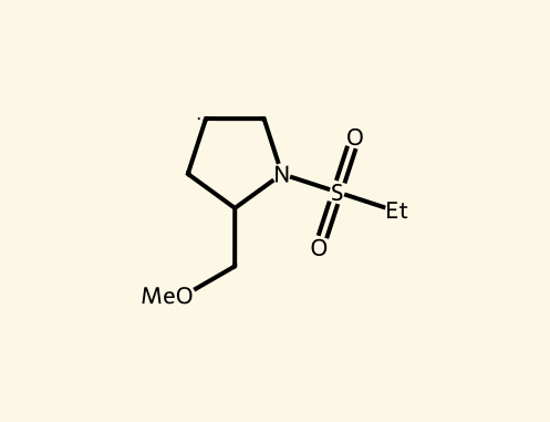 CCS(=O)(=O)N1C[CH]CC1COC